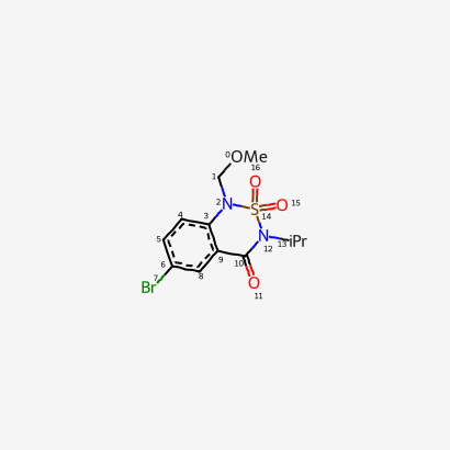 COCN1c2ccc(Br)cc2C(=O)N(C(C)C)S1(=O)=O